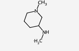 [CH2]NC1CCCN(C)C1